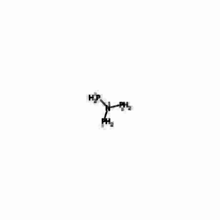 PN(P)P